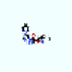 Cc1cc(-c2c[nH]n(-c3cc(N4CCCCC4)ncn3)c2=O)on1